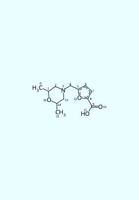 CC1CN(Cc2ccc(C(=O)O)o2)CC(C)O1